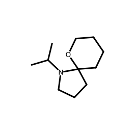 CC(C)N1CCCC12CCCCO2